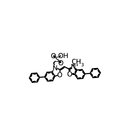 C[n+]1c(/C=C2\Oc3ccc(-c4ccccc4)cc3N2CS(=O)(=O)O)oc2ccc(-c3ccccc3)cc21